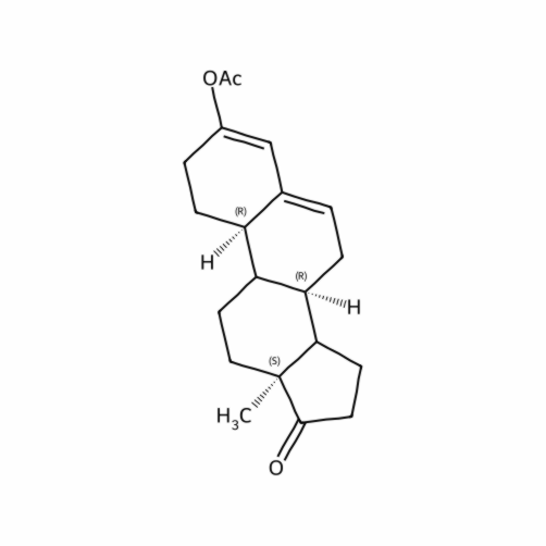 CC(=O)OC1=CC2=CC[C@@H]3C(CC[C@]4(C)C(=O)CCC34)[C@H]2CC1